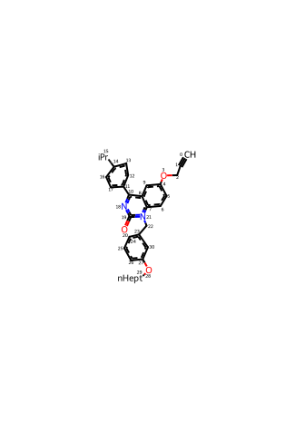 C#CCOc1ccc2c(c1)c(-c1ccc(C(C)C)cc1)nc(=O)n2Cc1cccc(OCCCCCCC)c1